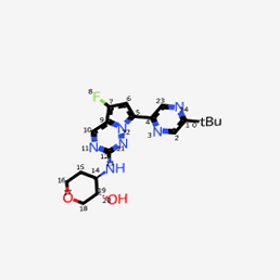 CC(C)(C)c1cnc(-c2cc(F)c3cnc(N[C@@H]4CCOC[C@H]4O)nn23)cn1